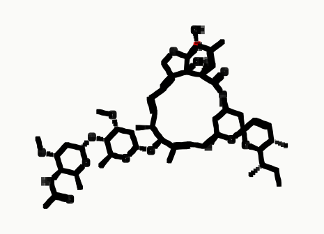 CC[C@H](C)[C@H]1O[C@]2(C=C[C@@H]1C)C[C@@H]1C[C@@H](C/C=C(\C)[C@@H](O[C@H]3C[C@@H](OC)[C@@H](O[C@H]4C[C@@H](OC)[C@H](NC(C)=O)[C@H](C)O4)[C@H](C)O3)[C@@H](C)/C=C/C=C3\CO[C@@H]4[C@H](O)C(C)=C[C@@H](C(=O)O1)[C@]34O)O2